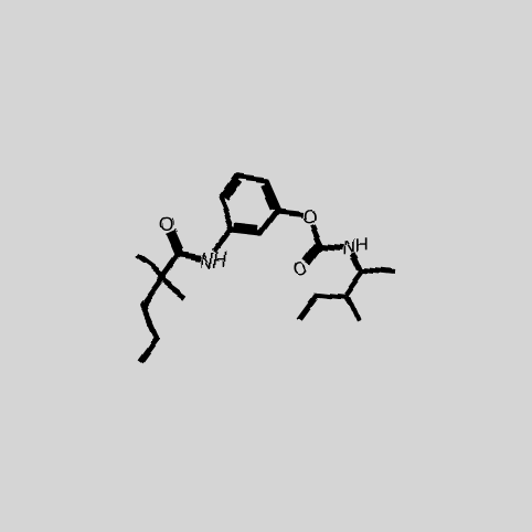 CCCC(C)(C)C(=O)Nc1cccc(OC(=O)NC(C)C(C)CC)c1